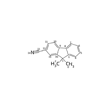 CC1(C)c2ccccc2-c2ccc(C#N)cc21